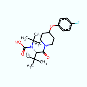 CC(C)(C)[C@@H](C(=O)N1CCC(Oc2ccc(F)cc2)CC1)N(C(=O)O)C(C)(C)C